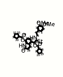 CCC(NCCc1ccc(OC)c(OC)c1)C(OC(=O)C1CCCC1)c1ccc(OC(=O)C2CCCC2)c2[nH]c(=O)ccc12